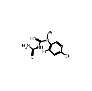 CCCN(C(=N)NC(=N)N)c1ccc(CC)cc1CC